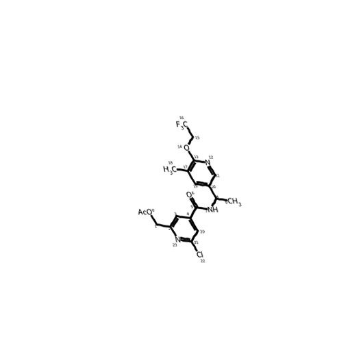 CC(=O)OCc1cc(C(=O)NC(C)c2cnc(OCC(F)(F)F)c(C)c2)cc(Cl)n1